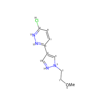 COCCn1cc(-c2ccc(Cl)nn2)cn1